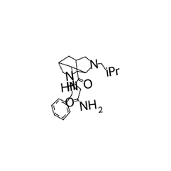 CC(C)CN1CC2CC3CNC2(C(=O)NCc2ccccc2)C1C3CCC(N)=O